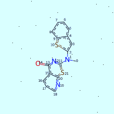 CN(c1cc2ccccc2s1)c1nc(=O)c2cccnc2s1